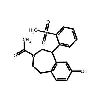 CC(=O)N1CCc2ccc(O)cc2C(c2ccccc2S(C)(=O)=O)C1